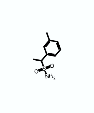 Cc1cccc(C(C)S(N)(=O)=O)c1